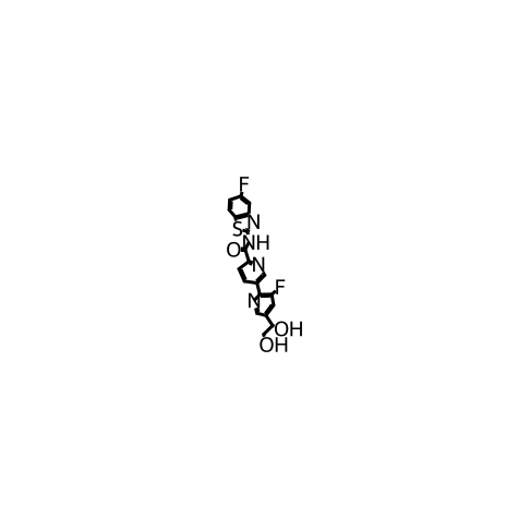 O=C(Nc1nc2cc(F)ccc2s1)c1ccc(-c2ncc(C(O)CO)cc2F)cn1